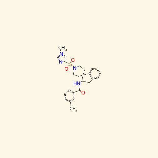 Cn1cnc(S(=O)(=O)N2CCC3(CC2)c2ccccc2CC3NC(=O)c2cccc(C(F)(F)F)c2)c1